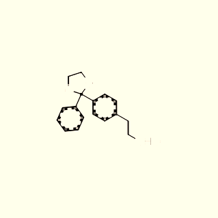 O=CCCc1ccc(C2(c3ccccc3)OCCO2)cc1